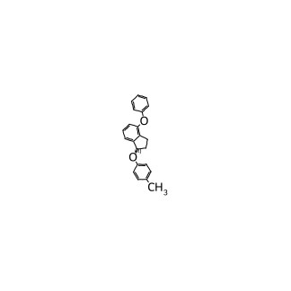 Cc1ccc(O[C@@H]2CCc3c(Oc4ccccc4)cccc32)cc1